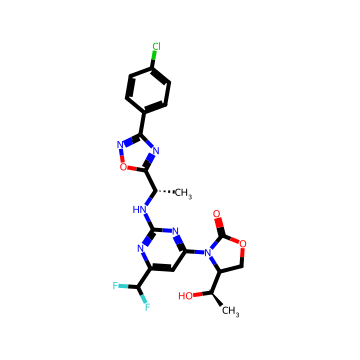 C[C@H](Nc1nc(C(F)F)cc(N2C(=O)OCC2[C@@H](C)O)n1)c1nc(-c2ccc(Cl)cc2)no1